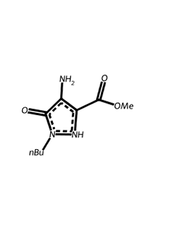 CCCCn1[nH]c(C(=O)OC)c(N)c1=O